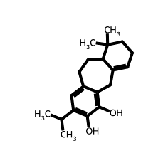 CC(C)c1cc2c(c(O)c1O)CC1=CCCC(C)(C)C1CC2